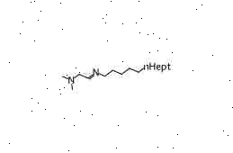 CCCCCCCCCCCCN=CCN(C)C